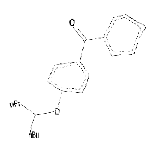 CCCCC(CCC)Oc1ccc(C(=O)c2ccccc2)cc1